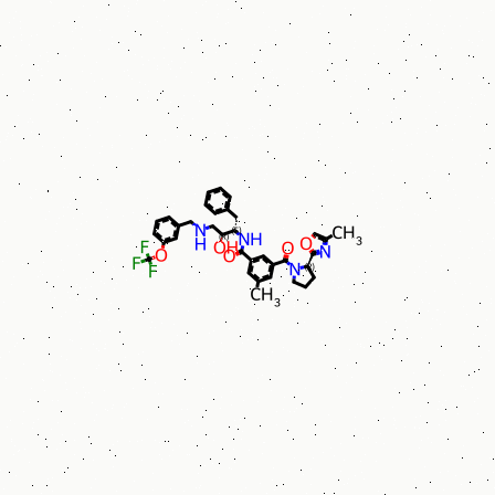 Cc1cc(C(=O)N[C@@H](Cc2ccccc2)[C@H](O)CNCc2cccc(OC(F)(F)F)c2)cc(C(=O)N2CCC[C@@H]2c2nc(C)co2)c1